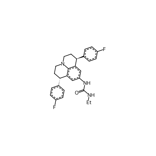 CCNC(=O)Nc1cc2c3c(c1)[C@H](c1ccc(F)cc1)CCN3CC[C@H]2c1ccc(F)cc1